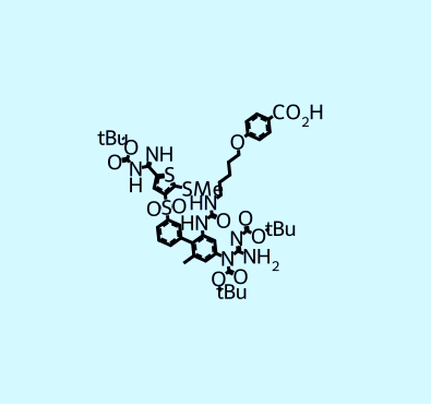 CSc1sc(C(=N)NC(=O)OC(C)(C)C)cc1S(=O)(=O)c1cccc(-c2c(C)cc(N(C(=O)OC(C)(C)C)C(N)=NC(=O)OC(C)(C)C)cc2NC(=O)NCCCCCOc2ccc(C(=O)O)cc2)c1